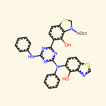 CCCCCCCCN1CSc2ccc(-c3nc(Nc4ccccc4)nc(N(c4ccccc4)c4ccc5scnc5c4O)n3)c(O)c21